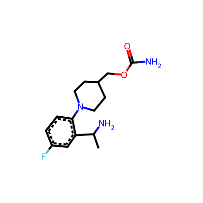 CC(N)c1cc(F)ccc1N1CCC(COC(N)=O)CC1